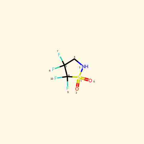 O=S1(=O)NCC(F)(F)C1(F)F